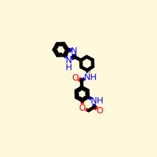 O=C1COc2ccc(C(=O)N[C@H]3CCCC(c4nc5ccccc5[nH]4)C3)cc2N1